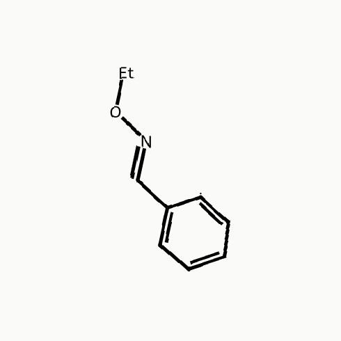 CCON=Cc1[c]cccc1